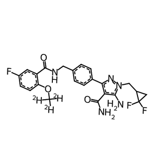 [2H]C([2H])([2H])Oc1ccc(F)cc1C(=O)NCc1ccc(-c2nn(CC3CC3(F)F)c(N)c2C(N)=O)cc1